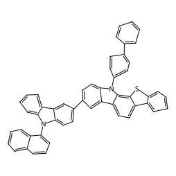 c1ccc(-c2ccc(-n3c4ccc(-c5ccc6c(c5)c5ccccc5n6-c5cccc6ccccc56)cc4c4ccc5c6ccccc6sc5c43)cc2)cc1